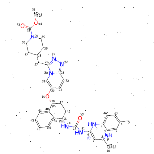 Cc1ccc(N/C(=C\C(=N)C(C)(C)C)NC(=O)N[C@H]2CC[C@@H](Oc3ccc4nnc(CC5CCN(C(=O)OC(C)(C)C)CC5)n4c3)c3ccccc32)cc1